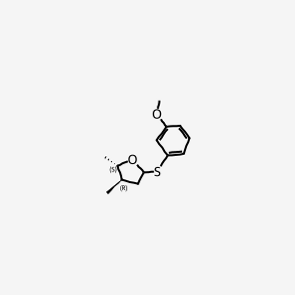 COc1cccc(SC2C[C@@H](C)[C@H](C)O2)c1